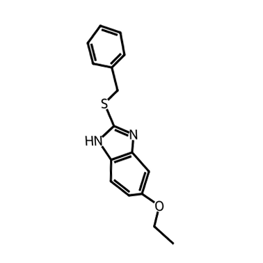 CCOc1ccc2[nH]c(SCc3ccccc3)nc2c1